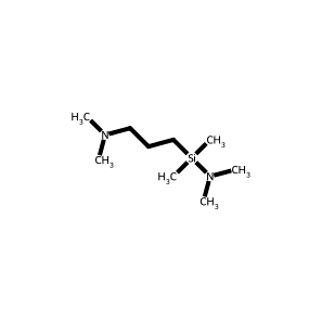 CN(C)CCC[Si](C)(C)N(C)C